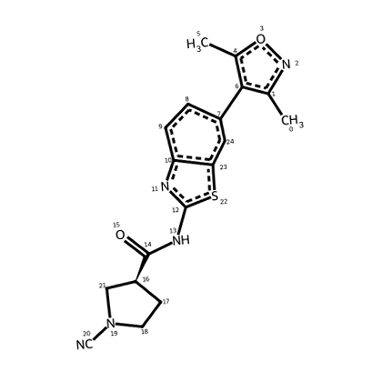 Cc1noc(C)c1-c1ccc2nc(NC(=O)[C@H]3CCN(C#N)C3)sc2c1